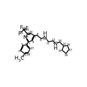 Cc1ccc(-c2cc(CCNCCNCC3CCCC3)cc(C(F)(F)F)n2)cc1